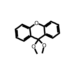 COC1(OC)c2ccccc2Oc2ccccc21